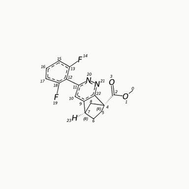 COC(=O)[C@]12CC[C@H](C1)c1cc(-c3c(F)cccc3F)nnc12